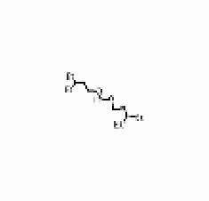 CCC(CC)CCOPOCCC(CC)CC